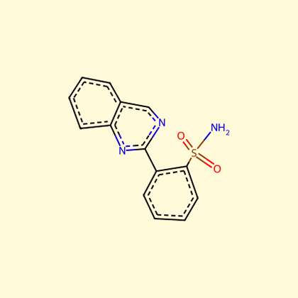 NS(=O)(=O)c1ccccc1-c1ncc2ccccc2n1